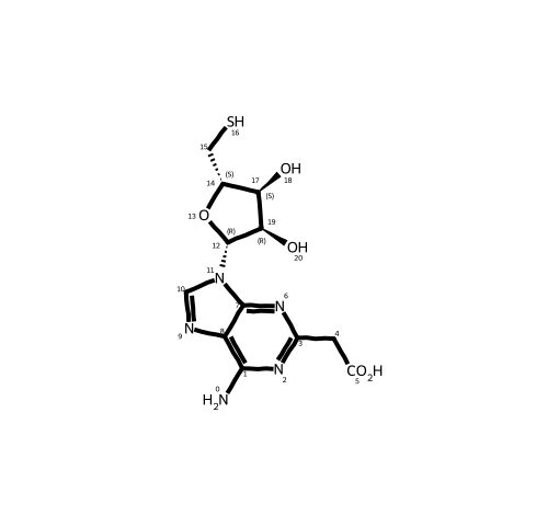 Nc1nc(CC(=O)O)nc2c1ncn2[C@@H]1O[C@H](CS)[C@@H](O)[C@H]1O